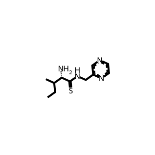 CCC(C)[C@H](N)C(=S)NCc1cnccn1